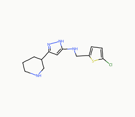 Clc1ccc(CNc2cc(C3CCCNC3)n[nH]2)s1